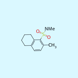 CNS(=O)(=O)c1c(C)ccc2c1CCCC2